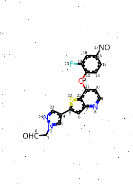 O=CCn1cc(-c2cc3nccc(Oc4ccc(N=O)cc4F)c3s2)cn1